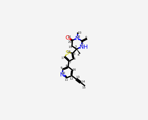 C=C1N[C@](C)(c2cc(-c3cncc(C#CC)c3)cs2)CC(=O)N1C